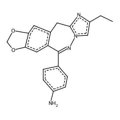 CCc1cn2c(n1)Cc1cc3c(cc1C(c1ccc(N)cc1)=N2)OCO3